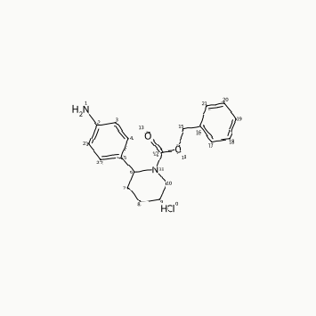 Cl.Nc1ccc(C2CCCCN2C(=O)OCc2ccccc2)cc1